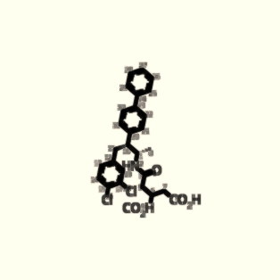 C[C@H](NC(=O)CC(CC(=O)O)C(=O)O)[C@@H](Cc1ccc(Cl)c(Cl)c1)c1ccc(-c2ccccc2)cc1